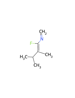 C=N/C(F)=C(\C)C(C)C